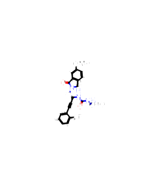 COc1ccc2c(c1)C(=O)N(C[C@@H](C#Cc1ccccc1C(F)(F)F)NC(=O)NC=O)C2